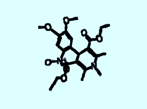 CCOC(=O)C1=C(C)N(C)C(C)=C(C(=O)OCC)C1c1cc(OC)c(OC)cc1[N+](=O)[O-]